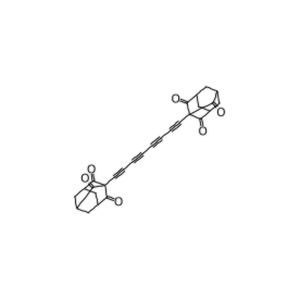 O=C1C2CC3CC(C2)C(=O)C1(C#CC#CC#CC#CC12C(=O)C4CC(CC(C4)C1=O)C2=O)C3=O